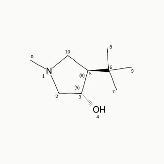 CN1C[C@@H](O)[C@H](C(C)(C)C)C1